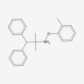 Cc1cc[c]cc1O[SiH2]C(C)(C)C(c1ccccc1)c1ccccc1